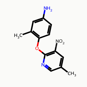 Cc1cnc(Oc2ccc(N)cc2C)c([N+](=O)[O-])c1